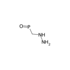 NNCP=O